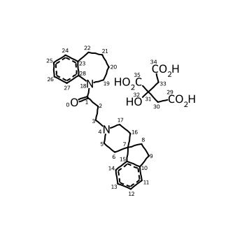 O=C(CCN1CCC2(CCc3ccccc32)CC1)N1CCCCc2ccccc21.O=C(O)CC(O)(CC(=O)O)C(=O)O